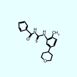 Cc1ccc(C2CCOCC2)cc1NC(=S)NC(=O)c1ccccc1